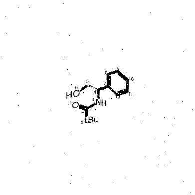 CC(C)(C)C(=O)N[C@H](CO)c1ccccc1